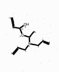 C=CCN(CC=C)C(C)OC(O)C=C